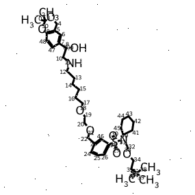 CC1(C)OCc2cc([C@H](O)CNCCCCCCOCCOCc3cccc(S(=O)(=O)N(COCC[Si](C)(C)C)C4CCCCC4)c3)ccc2O1